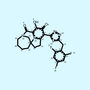 O=C1c2c(O)c(=O)c(-c3nnc(Cc4c(F)cc(F)cc4F)s3)c3n2C2(CCCCN1C2)CC3